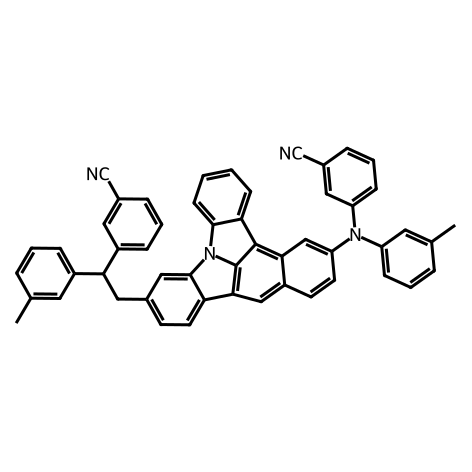 Cc1cccc(C(Cc2ccc3c4cc5ccc(N(c6cccc(C)c6)c6cccc(C#N)c6)cc5c5c6ccccc6n(c3c2)c45)c2cccc(C#N)c2)c1